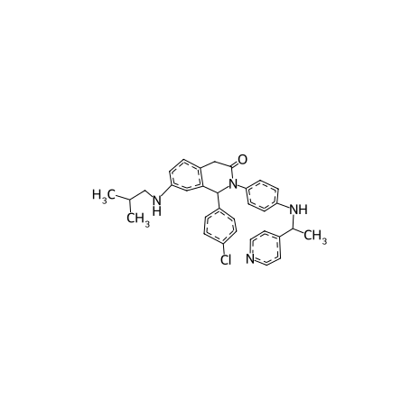 CC(C)CNc1ccc2c(c1)C(c1ccc(Cl)cc1)N(c1ccc(NC(C)c3ccncc3)cc1)C(=O)C2